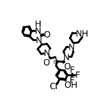 O=C(C[C@H](Cc1cc(Cl)c(O)c(C(F)(F)F)c1)C(=O)N1CCN(C2CCNCC2)CC1)N1CCC(N2Cc3ccccc3NC2=O)CC1